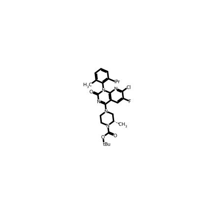 Cc1cccc(C(C)C)c1-n1c(=O)nc(N2CCN(C(=O)OC(C)(C)C)[C@@H](C)C2)c2cc(F)c(Cl)nc21